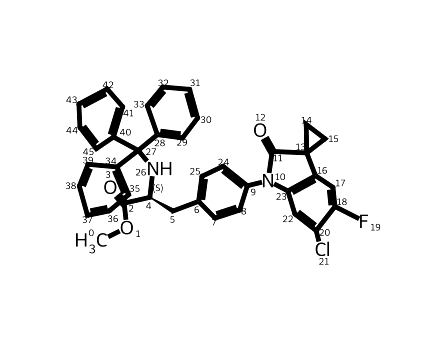 COC(=O)[C@H](Cc1ccc(N2C(=O)C3(CC3)c3cc(F)c(Cl)cc32)cc1)NC(c1ccccc1)(c1ccccc1)c1ccccc1